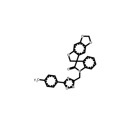 O=C1N(Cc2noc(-c3ccc(C(F)(F)F)cc3)n2)c2ccccc2C12COc1cc3c(cc12)OCO3